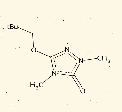 Cn1nc(OCC(C)(C)C)n(C)c1=O